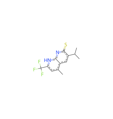 Cc1cc(C(F)(F)F)[nH]c2nc(=S)c(C(C)C)cc1-2